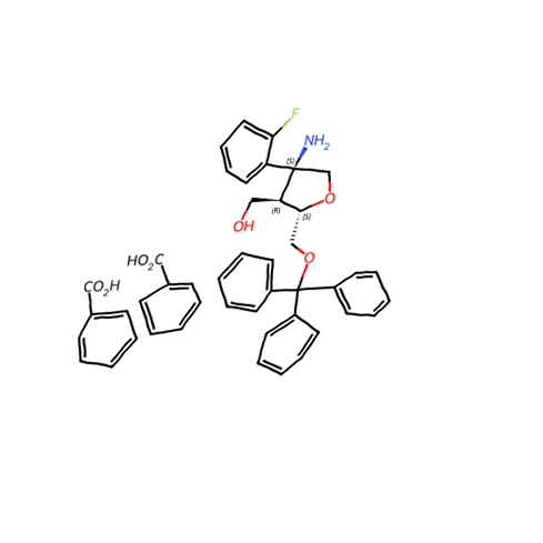 N[C@@]1(c2ccccc2F)CO[C@H](COC(c2ccccc2)(c2ccccc2)c2ccccc2)[C@H]1CO.O=C(O)c1ccccc1.O=C(O)c1ccccc1